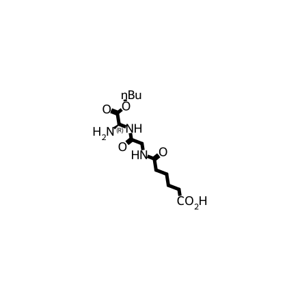 CCCCOC(=O)[C@H](N)NC(=O)CNC(=O)CCCCC(=O)O